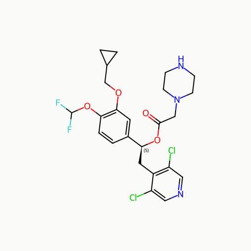 O=C(CN1CCNCC1)O[C@@H](Cc1c(Cl)cncc1Cl)c1ccc(OC(F)F)c(OCC2CC2)c1